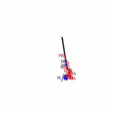 CCCCCCCCCCCCCCCCCCC[C@H](O)CCSCCNC(=O)CCNC(=O)[C@H](O)C(C)(C)COP(=O)(O)OP(=O)(O)OC[C@H]1O[C@@H](n2cnc3c(N)ncnc32)[C@H](O)[C@@H]1OP(=O)(O)O